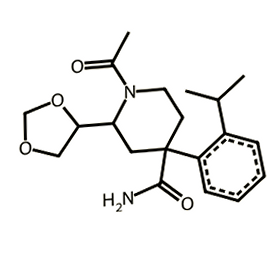 CC(=O)N1CCC(C(N)=O)(c2ccccc2C(C)C)CC1C1COCO1